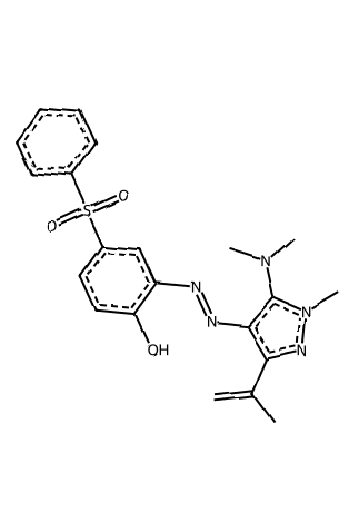 C=C(C)c1nn(C)c(N(C)C)c1N=Nc1cc(S(=O)(=O)c2ccccc2)ccc1O